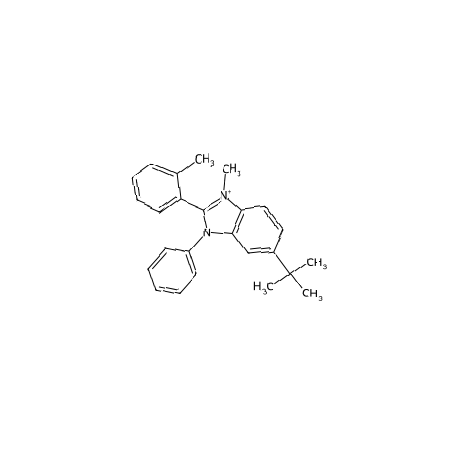 Cc1ccccc1-c1n(-c2ccccc2)c2cc(C(C)(C)C)ccc2[n+]1C